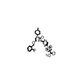 CC1CCC(N(CCOCc2ccccc2F)C(=O)Nc2ncc(S(=O)(=O)C(C)(C)C(=O)O)s2)CC1